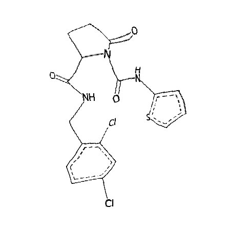 O=C(NCc1ccc(Cl)cc1Cl)C1CCC(=O)N1C(=O)Nc1cccs1